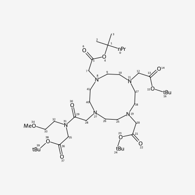 CCCC(C)(C)OC(=O)CN1CCN(CC(=O)OC(C)(C)C)CCN(CC(=O)OC(C)(C)C)CCN(CC(=O)N(CCOC)CC(=O)OC(C)(C)C)CC1